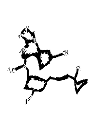 CN(c1cc(F)cc(C#CC2(C(F)(F)F)CC2)c1)c1nc2nncn2c2cc(C#N)ccc12